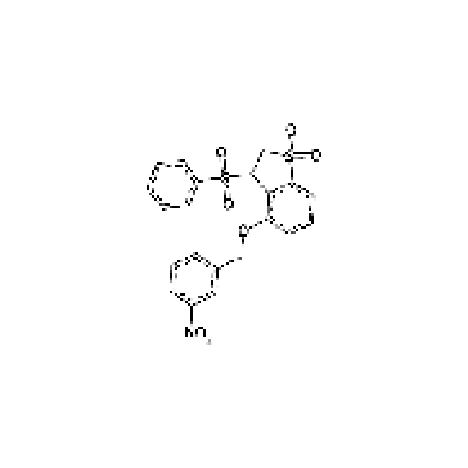 O=[N+]([O-])c1cccc(COc2cccc3c2C(S(=O)(=O)c2ccccc2)CS3(=O)=O)c1